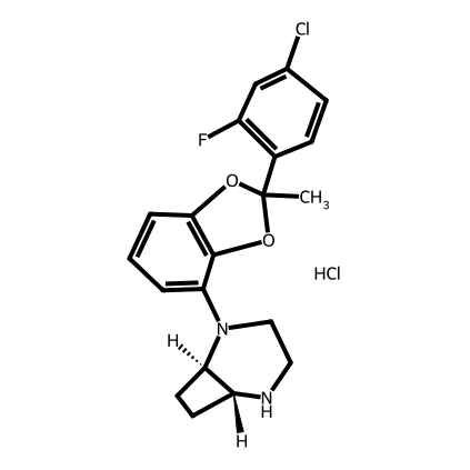 CC1(c2ccc(Cl)cc2F)Oc2cccc(N3CCN[C@@H]4CC[C@H]43)c2O1.Cl